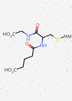 CNSCC(NC(=O)CCCC(=O)O)C(=O)NCC(=O)O